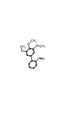 COc1cc(-c2ccccc2C=O)cc(OC)c1OC